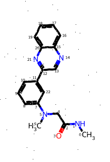 CNC(=O)CN(C)c1cccc(-c2cnc3ccccc3n2)c1